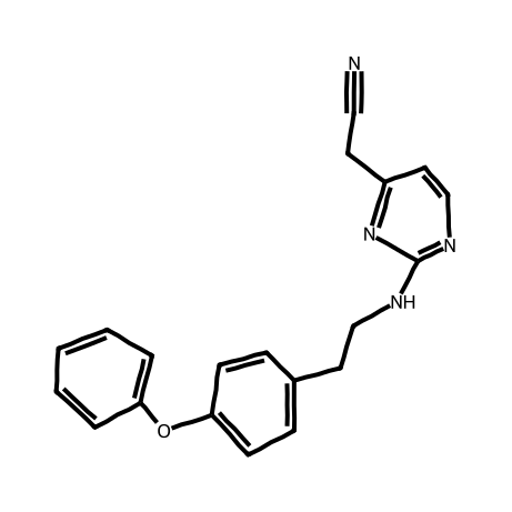 N#CCc1ccnc(NCCc2ccc(Oc3ccccc3)cc2)n1